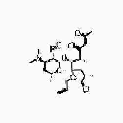 C=CCO[C@](C)(C[C@@H](C)C=O)[C@H](O[C@@H]1O[C@H](C)CC(N(C)C)[C@H]1P=O)[C@@H](C)C(=O)CC(C)=O